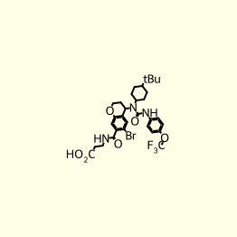 CC(C)(C)C1CCC(N(C(=O)Nc2ccc(OC(F)(F)F)cc2)C2CCOc3cc(C(=O)NCCC(=O)O)c(Br)cc32)CC1